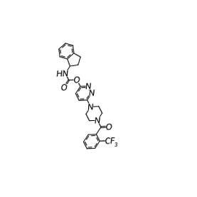 O=C(NC1CCc2ccccc21)Oc1ccc(N2CCN(C(=O)c3ccccc3C(F)(F)F)CC2)nn1